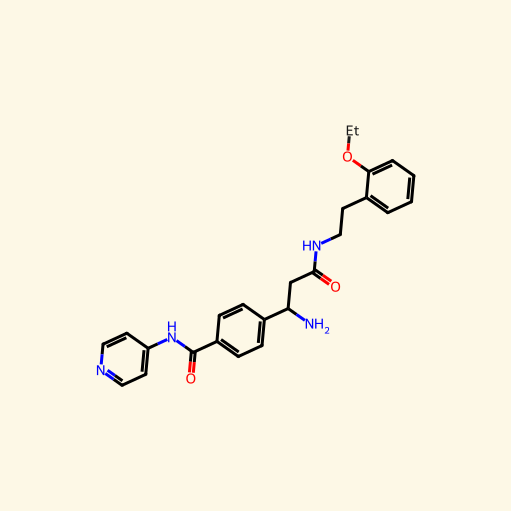 CCOc1ccccc1CCNC(=O)CC(N)c1ccc(C(=O)Nc2ccncc2)cc1